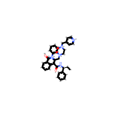 CC[C@H](NC(=O)c1c(CN2CCN(Cc3ccncc3)CC2)n(-c2ccccc2)c(=O)c2ccccc12)c1ccccc1